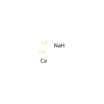 F.F.[Ce].[NaH]